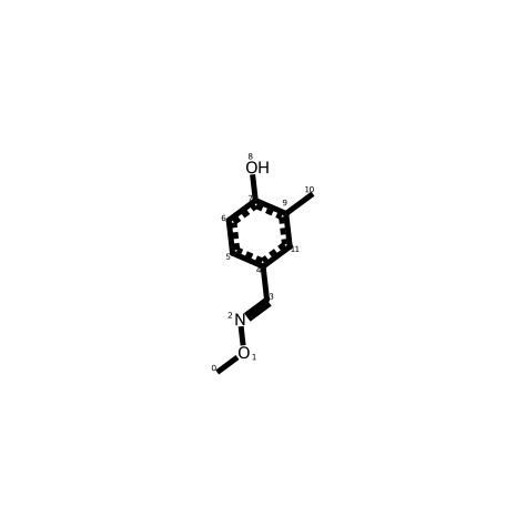 CON=Cc1ccc(O)c(C)c1